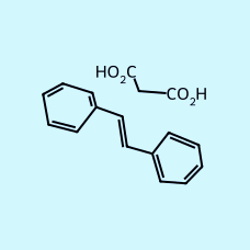 C(=C\c1ccccc1)/c1ccccc1.O=C(O)CC(=O)O